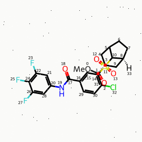 COC(=O)[C@@H]1CC2CC[C@@H](C1)C2S(=O)(=O)c1cc(C(=O)Nc2cc(F)c(F)c(F)c2)ccc1Cl